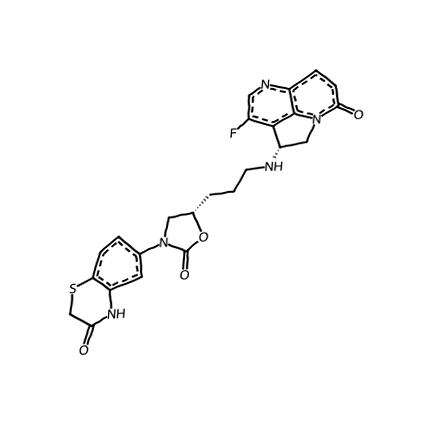 O=C1CSc2ccc(N3C[C@H](CCCN[C@H]4Cn5c(=O)ccc6ncc(F)c4c65)OC3=O)cc2N1